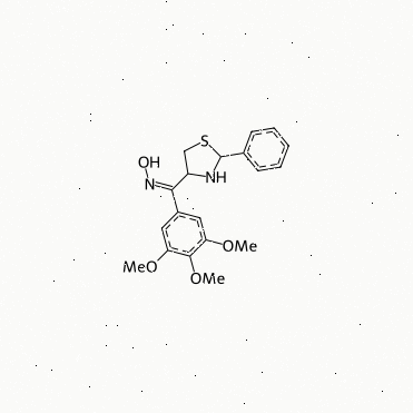 COc1cc(C(=NO)C2CSC(c3ccccc3)N2)cc(OC)c1OC